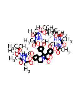 COc1cc(-c2c3n(c4c(=O)oc5cc(OC(=O)[C@H](C)NC(=O)[C@H](C)NC(=O)OC(C)(C)C)c(OC)cc5c24)CCc2cc(OC(=O)[C@H](C)NC(=O)[C@H](C)NC(=O)OC(C)(C)C)c(OC)cc2-3)ccc1OC(=O)[C@H](C)NC(=O)[C@H](C)NC(=O)OC(C)(C)C